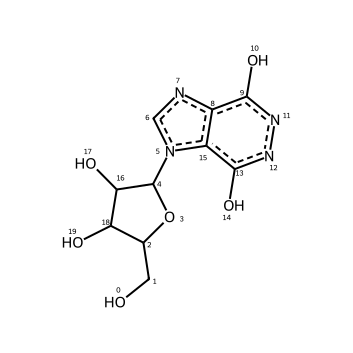 OCC1OC(n2cnc3c(O)nnc(O)c32)C(O)C1O